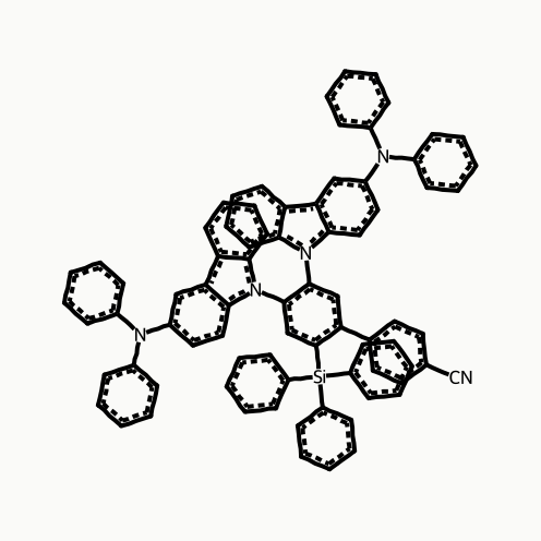 N#Cc1ccc(-c2cc(-n3c4ccccc4c4cc(N(c5ccccc5)c5ccccc5)ccc43)c(-n3c4ccccc4c4cc(N(c5ccccc5)c5ccccc5)ccc43)cc2[Si](c2ccccc2)(c2ccccc2)c2ccccc2)cc1